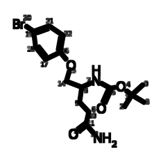 CC(C)(C)OC(=O)NC(CCC(N)=O)COc1ccc(Br)cc1